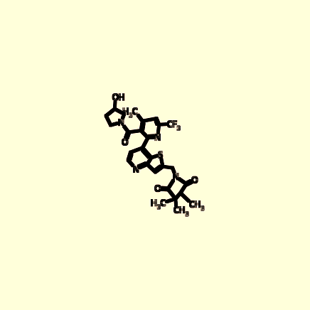 Cc1cc(C(F)(F)F)nc(-c2ccnc3cc(CN4C(=O)C(C)C(C)(C)C4=O)sc23)c1C(=O)N1CCC(O)C1